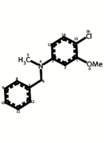 COc1cc(N(C)Cc2ccccc2)ccc1Cl